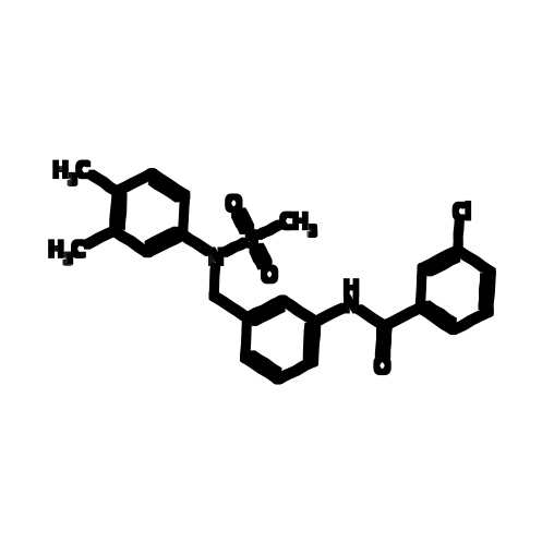 Cc1ccc(N(Cc2cccc(NC(=O)c3cccc(Cl)c3)c2)S(C)(=O)=O)cc1C